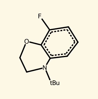 CC(C)(C)N1CCOc2c(F)cccc21